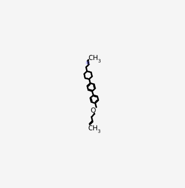 CC=CCCOCc1ccc(-c2ccc(C3CCC(C/C=C/C)CC3)cc2)cc1